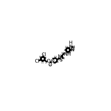 O=C(OCc1cc(Cl)cc(Cl)c1)N1CCC(c2nc(CNc3ccc4[nH]nnc4c3)cs2)CC1